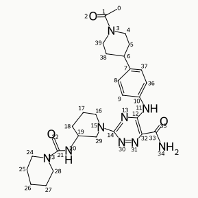 CC(=O)N1CCC(c2ccc(Nc3nc(N4CCCC(NC(=O)N5CCCCC5)C4)nnc3C(N)=O)cc2)CC1